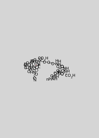 CCCNC(=O)Nc1cccc(S(=O)(=O)Nc2cccc([C@@H](CC(=O)O)NC(=O)Nc3ccc(NC(=O)NCCOCCOCCOCCC(=O)N[C@@H](CC(=O)O)C(=O)N4CCC[C@H]4C(=O)N[C@H](C(=O)O[C@]4(CC)C(=O)OCc5c4cc4n(c5=O)Cc5c-4nc4cc(F)c(C)c6c4c5[C@@H](NC(=O)Cc4ccncc4)CC6)C(C)C)cc3)c2)c1